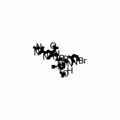 C#C[C@@H]1[C@@H](CC(C)=O)C[C@@H](C(=O)Nc2nc(Br)ccc2C)N1C(=O)Cn1nc(C(C)=O)c2cc(-c3cnc(C)nc3)ncc21